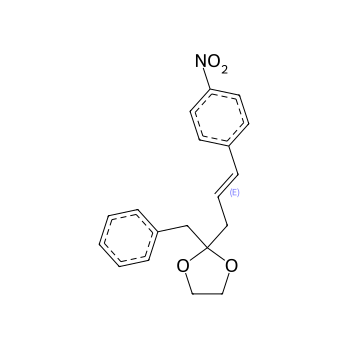 O=[N+]([O-])c1ccc(/C=C/CC2(Cc3ccccc3)OCCO2)cc1